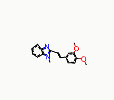 COc1ccc(C=Cc2nc3ccccc3n2C)cc1OC